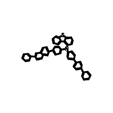 c1ccc(-c2ccc(-c3ccc(N(c4ccc(-c5ccc6cc(-c7ccccc7)ccc6c5)cc4)c4cccc5sc6ccccc6c45)cc3)cc2)cc1